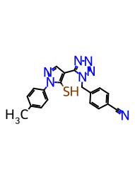 Cc1ccc(-n2ncc(-c3nnnn3Cc3ccc(C#N)cc3)c2S)cc1